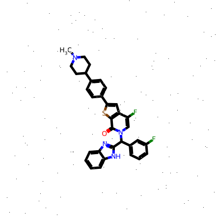 CN1CCC(c2ccc(-c3cc4c(F)cn(C(c5cccc(F)c5)c5nc6ccccc6[nH]5)c(=O)c4s3)cc2)CC1